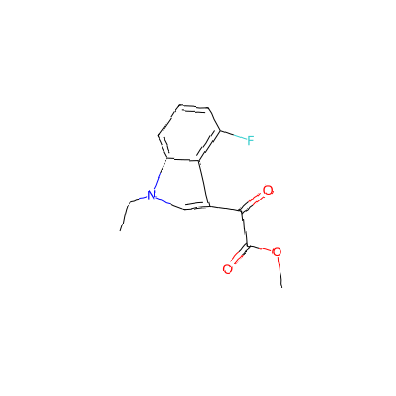 CCn1cc(C(=O)C(=O)OC)c2c(F)cccc21